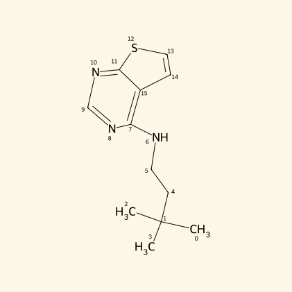 CC(C)(C)CCNc1ncnc2sccc12